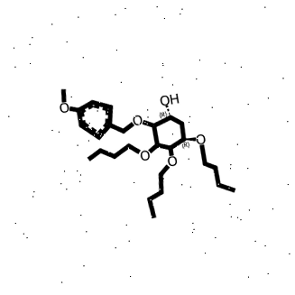 CCCCOC1C(OCc2ccc(OC)cc2)[C@H](O)C[C@@H](OCCCC)C1OCCCC